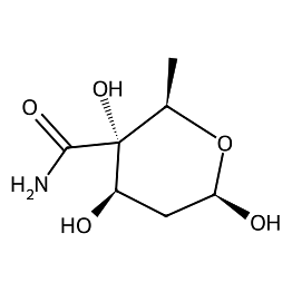 C[C@H]1O[C@@H](O)C[C@@H](O)[C@@]1(O)C(N)=O